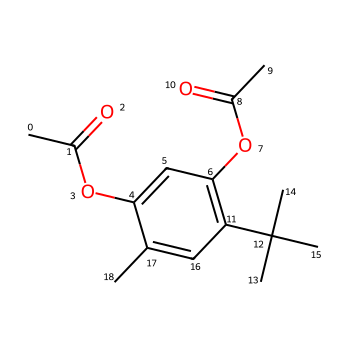 CC(=O)Oc1cc(OC(C)=O)c(C(C)(C)C)cc1C